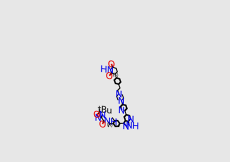 Cc1cc(-c2n[nH]c3ncc(-c4ccc(N5CCN(CCc6ccc([C@@H]7CCC(=O)NC7=O)cc6)CC5)cn4)cc23)ccc1[C@@H](C)NC(=O)c1noc(C(C)(C)C)n1